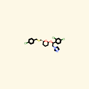 Clc1ccc(CSC[C@H]2CCC[C@H](OC(Cn3ccnc3)c3ccc(Cl)cc3Cl)O2)cc1